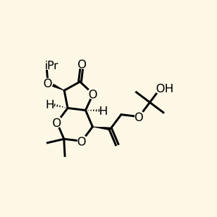 C=C(COC(C)(C)O)[C@H]1OC(C)(C)O[C@@H]2[C@H]1OC(=O)[C@@H]2OC(C)C